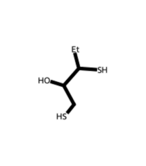 CCC(S)C(O)CS